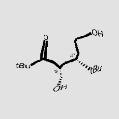 CC(C)(C)C(=O)[C@@H](O)[C@H](CO)C(C)(C)C